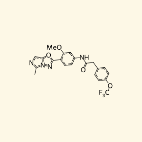 COc1cc(NC(=O)Cc2ccc(OC(F)(F)F)cc2)ccc1-c1nn2c(C)ncc2o1